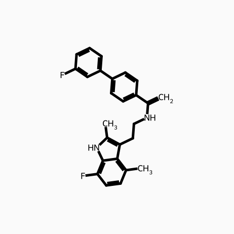 C=C(NCCc1c(C)[nH]c2c(F)ccc(C)c12)c1ccc(-c2cccc(F)c2)cc1